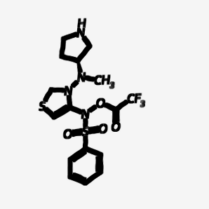 CN([C@H]1CCNC1)N1CSC=C1N(OC(=O)C(F)(F)F)S(=O)(=O)c1ccccc1